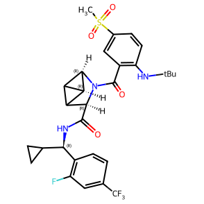 CC(C)(C)Nc1ccc(S(C)(=O)=O)cc1C(=O)N1[C@@H]2C3C([C@@H]32)[C@@H]1C(=O)N[C@@H](c1ccc(C(F)(F)F)cc1F)C1CC1